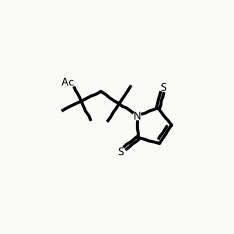 CC(=O)C(C)(C)CC(C)(C)N1C(=S)C=CC1=S